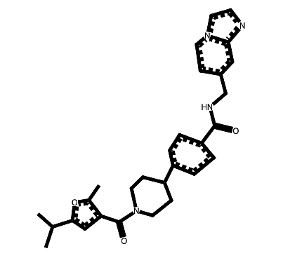 Cc1oc(C(C)C)cc1C(=O)N1CCC(c2ccc(C(=O)NCc3ccn4ccnc4c3)cc2)CC1